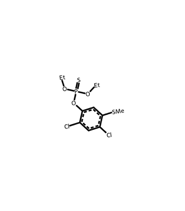 CCOP(=S)(OCC)Oc1cc(SC)c(Cl)cc1Cl